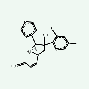 C=C/N=C\N(N)CC(O)(c1ccc(F)cc1F)C(C)c1ccncn1